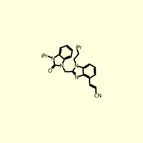 CC(C)CCn1c(Cn2c(=O)n(C(C)C)c3ccccc32)nc2c(C=CC#N)cccc21